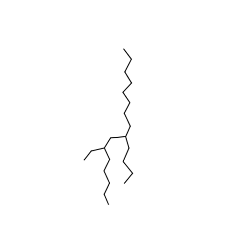 CCCCCCCCC(CCCC)CC(CC)CCCCC